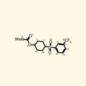 CNC(=O)OC1CCC(S(=O)(=O)c2cccc(C(F)(F)F)c2)CC1